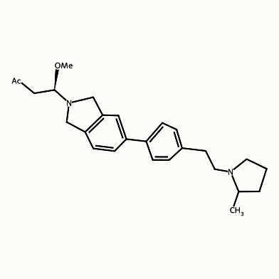 CO[C@H](CC(C)=O)N1Cc2ccc(-c3ccc(CCN4CCCC4C)cc3)cc2C1